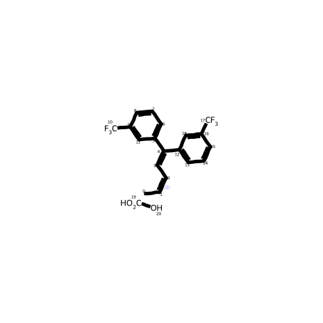 C/C=C\C=C(c1cccc(C(F)(F)F)c1)c1cccc(C(F)(F)F)c1.O=C(O)O